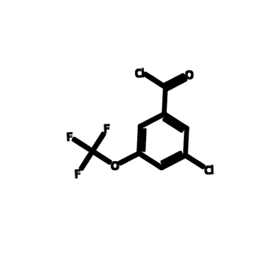 O=C(Cl)c1cc(Cl)cc(OC(F)(F)F)c1